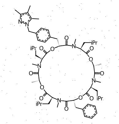 Cc1nn(Cc2ccc(C[C@H]3OC(=O)[C@H](CC(C)C)N(C)C(=O)[C@@H](C)OC(=O)[C@H](CC(C)C)N(C)C(=O)[C@@H](Cc4ccccc4)OC(=O)[C@H](CC(C)C)N(C)C(=O)[C@@H](C)OC(=O)[C@H](CC(C)C)N(C)C3=O)cc2)c(C)c1C